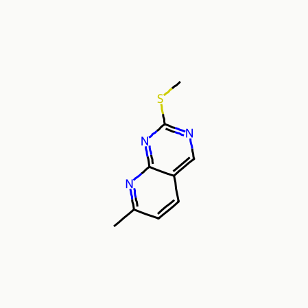 CSc1ncc2ccc(C)nc2n1